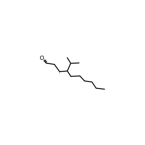 CCCCCCC([CH]CC=O)C(C)C